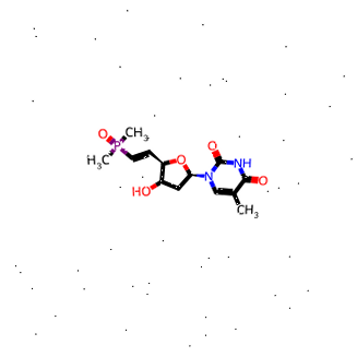 Cc1cn([C@H]2CC(O)[C@@H](/C=C/P(C)(C)=O)O2)c(=O)[nH]c1=O